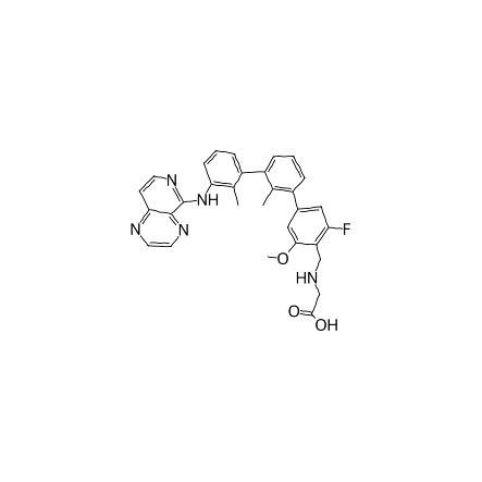 COc1cc(-c2cccc(-c3cccc(Nc4nccc5nccnc45)c3C)c2C)cc(F)c1CNCC(=O)O